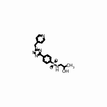 CC(O)CNS(=O)(=O)c1ccc(-c2nnn(Cc3ccncc3)n2)cc1